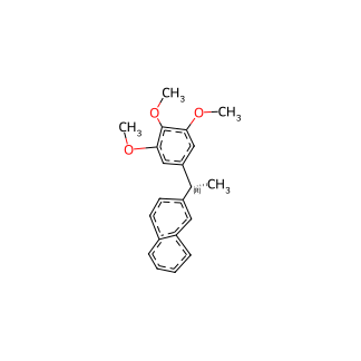 COc1cc([C@H](C)c2ccc3ccccc3c2)cc(OC)c1OC